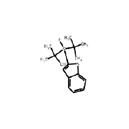 CC(C)(C)S(F)(c1cc2ccccc2s1)C(C)(C)C